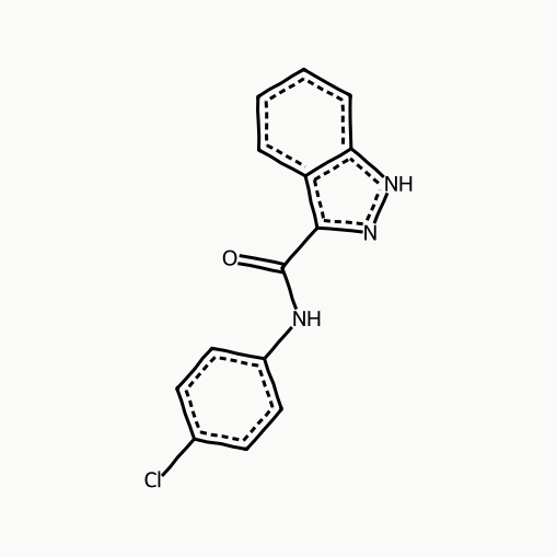 O=C(Nc1ccc(Cl)cc1)c1n[nH]c2ccccc12